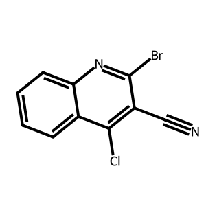 N#Cc1c(Br)nc2ccccc2c1Cl